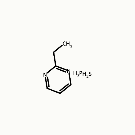 CCc1ncccn1.P.S